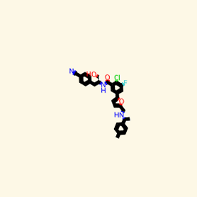 Cc1ccc(C(C)NCc2ccc(-c3cc(F)c(Cl)c(C(=O)N[C@@H](CO)Cc4ccc(C#N)cc4)c3)o2)cc1